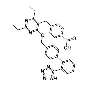 CCc1nc(CC)c(Cc2ccc(C(=O)O)cc2)c(OCc2ccc(-c3ccccc3-c3nnn[nH]3)cc2)n1